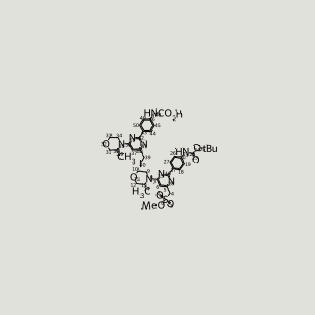 COS(=O)(=O)Cc1cc(N2CCOC[C@@H]2C)nc(-c2ccc(NC(=O)OC(C)(C)C)cc2)n1.C[C@H]1COCCN1c1cc(CI)nc(-c2ccc(NC(=O)O)cc2)n1